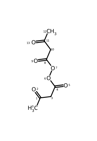 CC(=O)CC(=O)OOC(=O)CC(C)=O